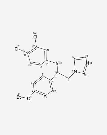 CCOc1ccc(C(Cn2ccnc2)Sc2ccc(Cl)c(Cl)c2)cc1